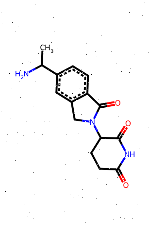 CC(N)c1ccc2c(c1)CN(C1CCC(=O)NC1=O)C2=O